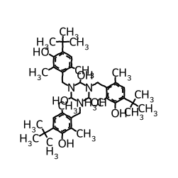 Cc1cc(C(C)(C)C)c(O)c(C)c1CN1C(O)N(Cc2c(C)cc(C(C)(C)C)c(O)c2C)C(O)N(Cc2c(C)cc(C(C)(C)C)c(O)c2C)C1O